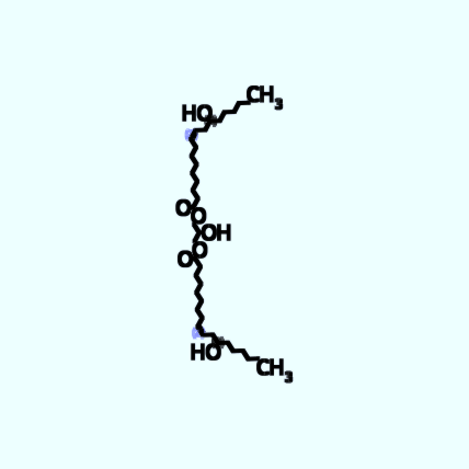 CCCCCC[C@@H](O)C/C=C\CCCCCCCC(=O)OCC(O)COC(=O)CCCCCCC/C=C\C[C@H](O)CCCCCC